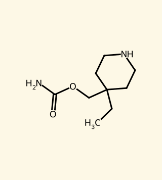 CCC1(COC(N)=O)CCNCC1